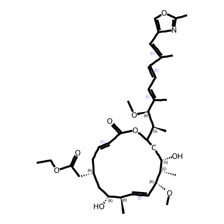 CCOC(=O)C[C@@H]1C/C=C/C(=O)OC([C@H](C)[C@@H](OC)/C(C)=C/C=C/C(C)=C/c2coc(C)n2)C[C@H](O)[C@H](C)[C@H](OC)/C=C/[C@@H](C)[C@H](O)C1